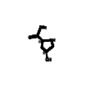 CC(=O)OC(=O)[C@@H]1C[C@@H](O)CN1